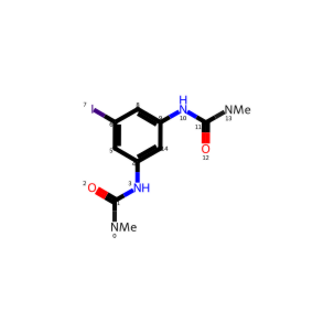 CNC(=O)Nc1cc(I)cc(NC(=O)NC)c1